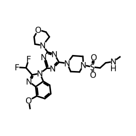 CNCCS(=O)(=O)N1CCN(c2nc(N3CCOCC3)nc(-n3c(C(F)F)nc4c(OC)cccc43)n2)CC1